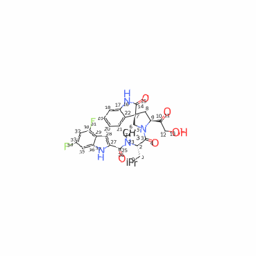 CC(C)C[C@@H](C(=O)N1C[C@]2(C[C@H]1C(=O)CO)C(=O)Nc1ccccc12)N(C)C(=O)c1cc2c(F)cc(F)cc2[nH]1